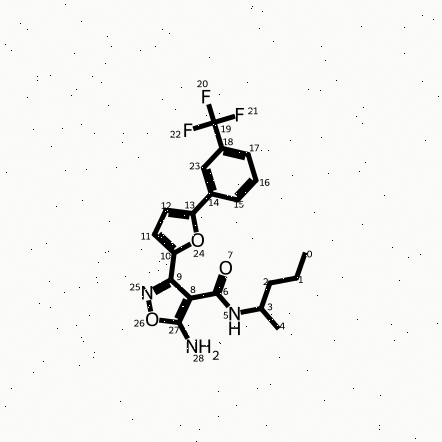 CCCC(C)NC(=O)c1c(-c2ccc(-c3cccc(C(F)(F)F)c3)o2)noc1N